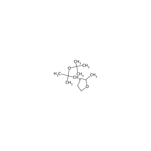 CC(C)(C)OC(C)(C)C.CC1CCCO1